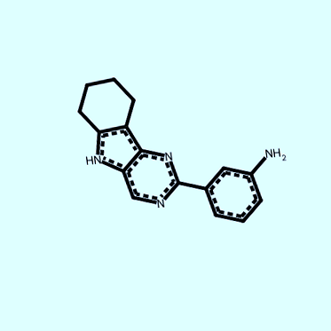 Nc1cccc(-c2ncc3[nH]c4c(c3n2)CCCC4)c1